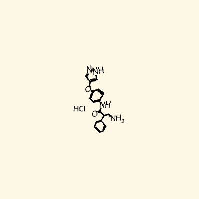 Cl.NCC(C(=O)Nc1ccc(Oc2cn[nH]c2)cc1)c1ccccc1